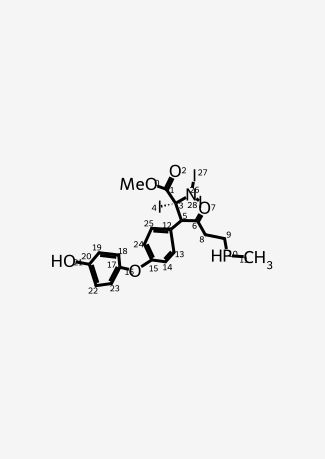 COC(=O)[C@](I)(C(C(=O)CCPC)c1ccc(Oc2ccc(O)cc2)cc1)N(I)I